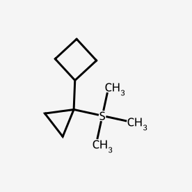 CS(C)(C)C1(C2CCC2)CC1